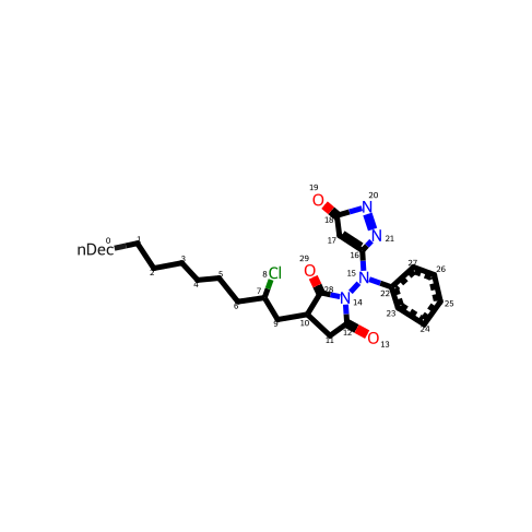 CCCCCCCCCCCCCCCCC(Cl)CC1CC(=O)N(N(C2=CC(=O)N=N2)c2ccccc2)C1=O